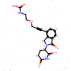 O=C(O)NCCOCC#Cc1cccc2c1CN(C1CCC(=O)NC1=O)C2=O